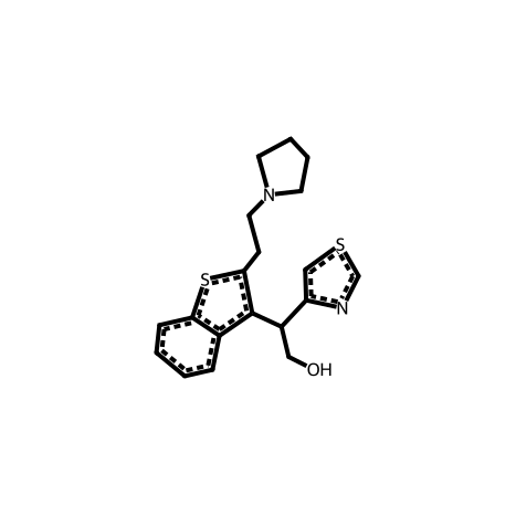 OCC(c1cscn1)c1c(CCN2CCCC2)sc2ccccc12